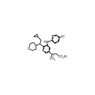 CCOC(=O)C[C@@H](C)c1cnc(N(CC2CC2)C2CCOCC2)c(Nc2ccc(Cl)cn2)c1